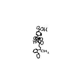 CC(CCC(=O)NS(=O)(=O)c1ccc(C(=O)O)cc1)c1ccccc1C=O